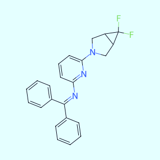 FC1(F)C2CN(c3cccc(N=C(c4ccccc4)c4ccccc4)n3)CC21